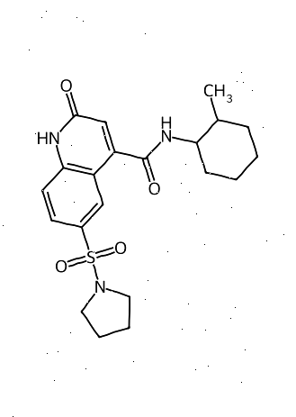 CC1CCCCC1NC(=O)c1cc(=O)[nH]c2ccc(S(=O)(=O)N3CCCC3)cc12